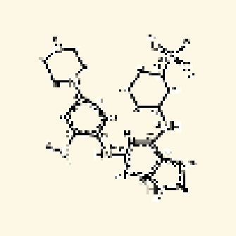 COc1cc(N2CCOCC2)ccc1Nc1nc(NC2CCCN(S(C)(=O)=O)C2)c2nc[nH]c2n1